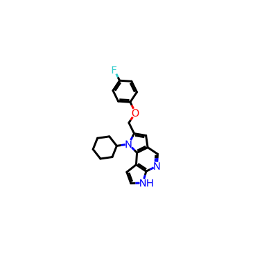 Fc1ccc(OCc2cc3cnc4[nH]ccc4c3n2C2CCCCC2)cc1